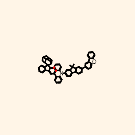 CC1(C)c2cc(-c3ccc4oc5ccccc5c4c3)ccc2-c2ccc(N(c3ccccc3)c3ccccc3-c3ccc4c(c3)-c3ccccc3C43C4CC5CC(C4)CC3C5)cc21